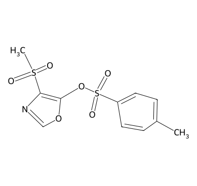 Cc1ccc(S(=O)(=O)Oc2ocnc2S(C)(=O)=O)cc1